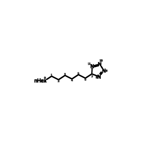 [CH2]CCCCCCCCCCCC1N=NN=N1